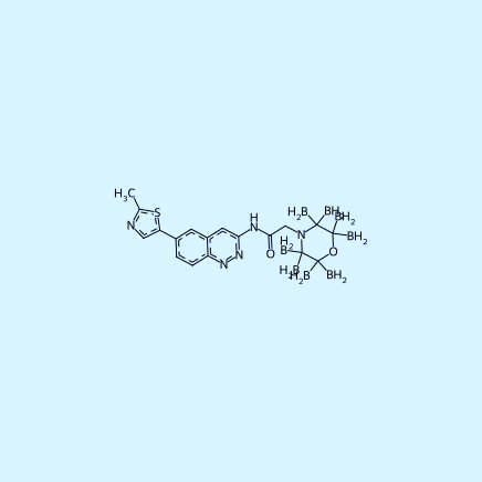 BC1(B)OC(B)(B)C(B)(B)N(CC(=O)Nc2cc3cc(-c4cnc(C)s4)ccc3nn2)C1(B)B